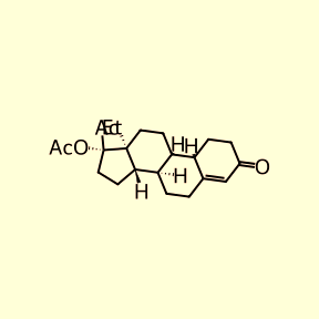 CC[C@]12CC[C@H]3[C@@H](CCC4=CC(=O)CC[C@@H]43)[C@@H]1CC[C@@]2(OC(C)=O)C(C)=O